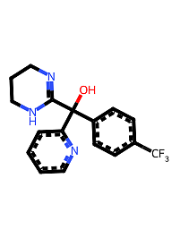 OC(C1=NCCCN1)(c1ccc(C(F)(F)F)cc1)c1ccccn1